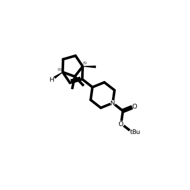 CC(C)(C)OC(=O)N1CCC(C2=C[C@@H]3CC[C@@]2(C)C3(C)C)CC1